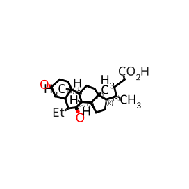 CCC1C(=O)[C@H]2[C@@H]3CC[C@H]([C@H](C)CCC(=O)O)[C@@]3(C)CC[C@@H]2[C@@]2(C)CCC(=O)CC12